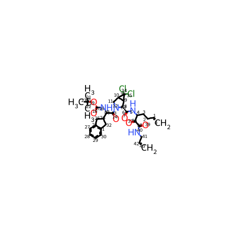 C=CCCC(NC(=O)[C@@H]1C2C(CN1C(=O)[C@@H](NC(=O)OC(C)(C)C)C1Cc3ccccc3C1)C2(Cl)Cl)C(=O)C(=O)NCC=C